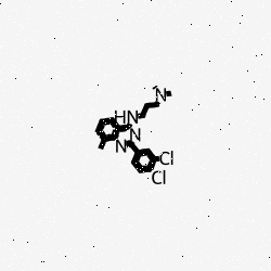 Cc1cccc2c(NCCCN(C)C)nc(-c3ccc(Cl)c(Cl)c3)nc12